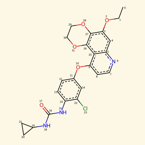 CCOc1cc2nccc(Oc3ccc(NC(=O)NC4CC4)c(Cl)c3)c2c2c1OCCO2